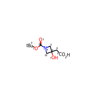 CC(C)(C)OC(=O)N1CC(O)(CC(=O)O)C1